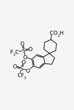 O=C(O)C1CCC2(CCc3cc(OS(=O)(=O)C(F)(F)F)c(OS(=O)(=O)C(F)(F)F)cc32)CC1